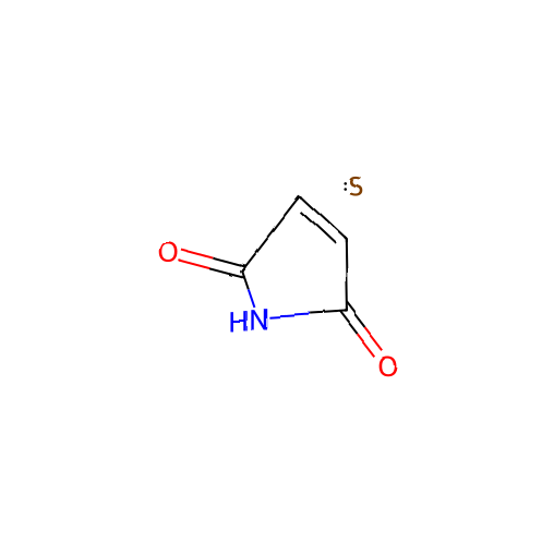 O=C1C=CC(=O)N1.[S]